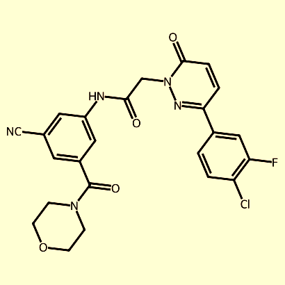 N#Cc1cc(NC(=O)Cn2nc(-c3ccc(Cl)c(F)c3)ccc2=O)cc(C(=O)N2CCOCC2)c1